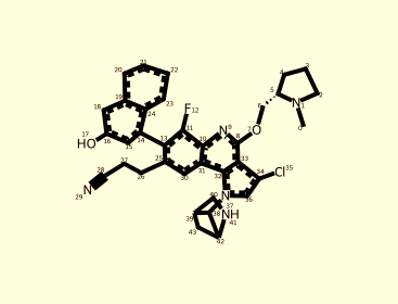 CN1CCC[C@H]1COc1nc2c(F)c(-c3cc(O)cc4ccccc34)c(CCC#N)cc2c2c1c(Cl)cn2C1C2CNC1C2